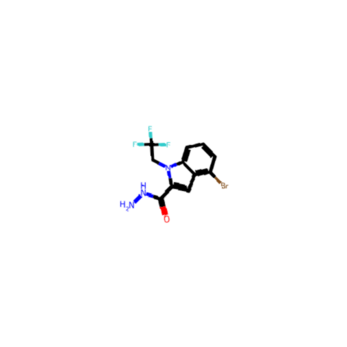 NNC(=O)c1cc2c(Br)cccc2n1CC(F)(F)F